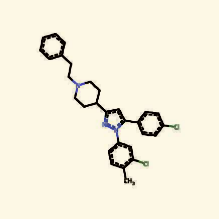 Cc1ccc(-n2nc(C3CCN(CCc4ccccc4)CC3)cc2-c2ccc(Cl)cc2)cc1Cl